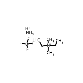 CC[N+](C)(C)CC.F[B-](F)(F)F.N.[H+]